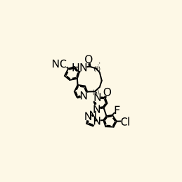 C[C@@H]1CCC[C@H](n2cnc(-c3c(-n4ccnn4)ccc(Cl)c3F)cc2=O)c2cc(ccn2)-c2ccc(C#N)cc2NC1=O